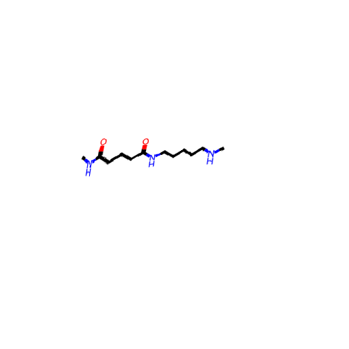 CNCCCCCNC(=O)CCCC(=O)NC